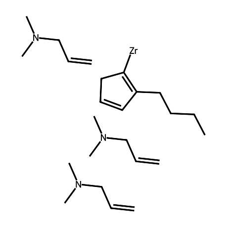 C=CCN(C)C.C=CCN(C)C.C=CCN(C)C.CCCCC1=[C]([Zr])CC=C1